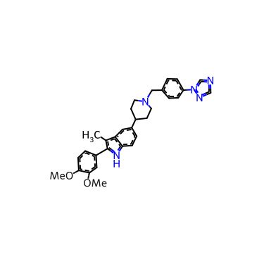 COc1ccc(-c2[nH]c3ccc(C4CCN(Cc5ccc(-n6cncn6)cc5)CC4)cc3c2C)cc1OC